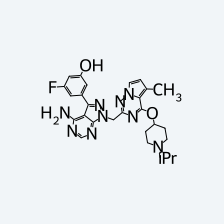 Cc1ccn2nc(Cn3nc(-c4cc(O)cc(F)c4)c4c(N)ncnc43)nc(OC3CCN(C(C)C)CC3)c12